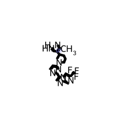 C/C(N)=C(/C=N)C1CCCN(c2ccnc(-c3cnc4cnc(C(F)(F)F)cn34)n2)C1